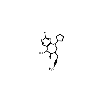 CC#CCC1CN(C2CCCC2)c2nc(Cl)ncc2N(C)C1=O